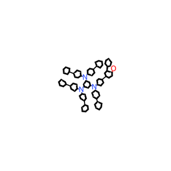 c1ccc(-c2ccc(N(c3ccc(-c4ccccc4)cc3)c3cc(N(c4ccc(-c5ccccc5)cc4)c4ccc(-c5ccccc5)cc4)cc(N(c4ccc(-c5ccccc5)cc4)c4ccc(-c5ccc6oc7ccccc7c6c5)cc4)c3)cc2)cc1